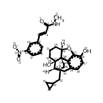 CNC(=O)/C=C/c1cccc([N+](=O)[O-])c1.Oc1ccc2c3c1O[C@H]1CCC[C@@]4(O)[C@@H](C2)N(CC2CC2)CC[C@]314